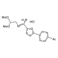 COC(CN=C(N)c1ccc(-c2ccc(C(C)=O)cc2)o1)OC.Cl